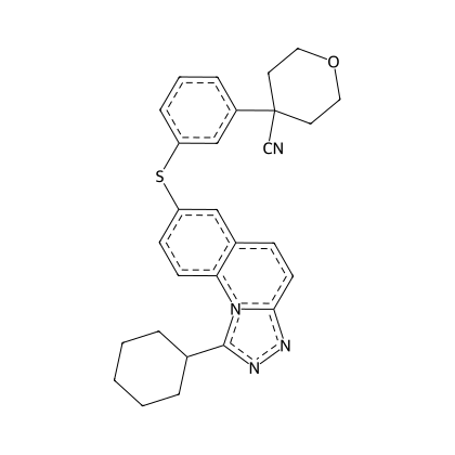 N#CC1(c2cccc(Sc3ccc4c(ccc5nnc(C6CCCCC6)n54)c3)c2)CCOCC1